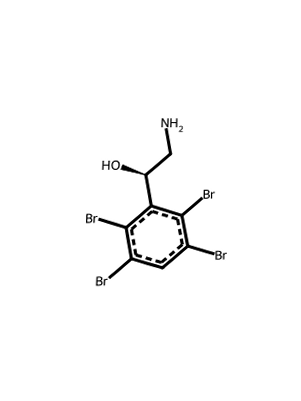 NC[C@H](O)c1c(Br)c(Br)cc(Br)c1Br